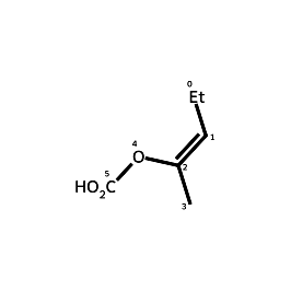 CCC=C(C)OC(=O)O